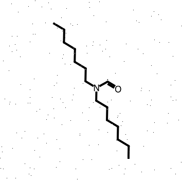 CCCCCCCN([C]=O)CCCCCCC